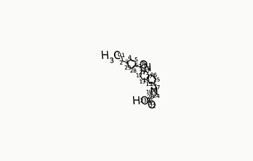 CCCc1ccc(-c2onc3c2CCc2cc(CN4CC(C(=O)O)C4)ccc2-3)cc1